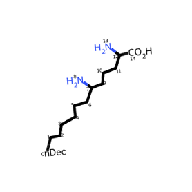 CCCCCCCCCCCCCCCCC(N)CCCC(N)C(=O)O